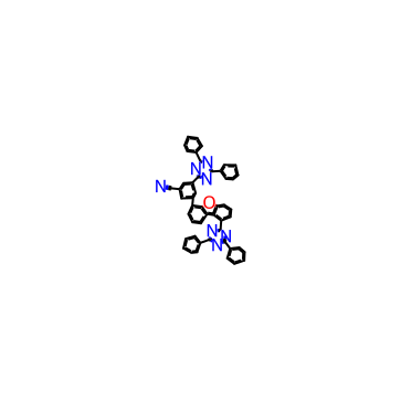 N#Cc1cc(-c2nc(-c3ccccc3)nc(-c3ccccc3)n2)cc(-c2cccc3c2oc2cccc(-c4nc(-c5ccccc5)nc(-c5ccccc5)n4)c23)c1